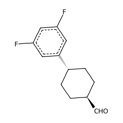 O=C[C@H]1CC[C@H](c2cc(F)cc(F)c2)CC1